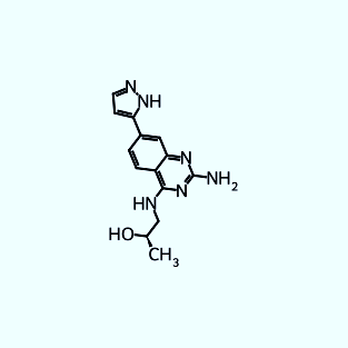 C[C@@H](O)CNc1nc(N)nc2cc(-c3ccn[nH]3)ccc12